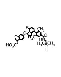 Cc1cc(C(=O)NCC(C)(C)O)cc(C)c1-c1ccc(F)c2c1CC[C@H]2Oc1ccc2c(c1)OC[C@H]2CC(=O)O